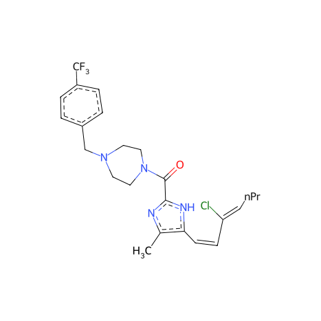 CCC/C=C(Cl)/C=C\c1[nH]c(C(=O)N2CCN(Cc3ccc(C(F)(F)F)cc3)CC2)nc1C